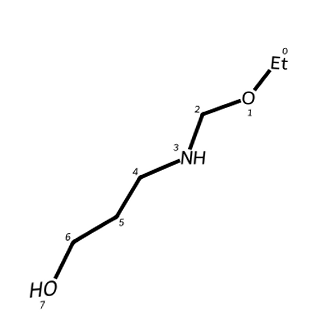 CCOCNCCCO